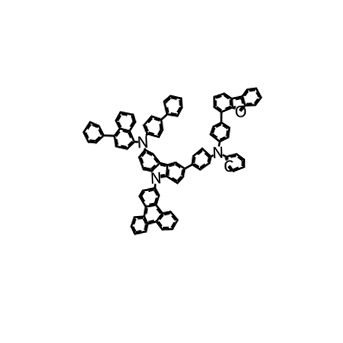 c1ccc(-c2ccc(N(c3ccc4c(c3)c3cc(-c5ccc(N(c6ccccc6)c6ccc(-c7cccc8c7oc7ccccc78)cc6)cc5)ccc3n4-c3ccc4c5ccccc5c5ccccc5c4c3)c3ccc(-c4ccccc4)c4ccccc34)cc2)cc1